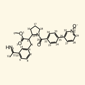 COC(=O)C(Cc1cccc(C(C)=N)c1)C1CCCN1C(=O)c1ccc(-c2ccc[n+]([O-])c2)cc1